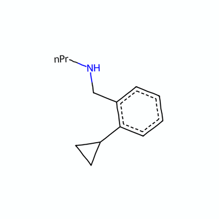 CCCNCc1ccccc1C1CC1